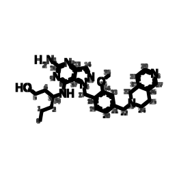 CCC[C@@H](CCO)Nc1nc(N)nc2cnn(Cc3ccc(CN4CCc5cnccc5C4)cc3OC)c12